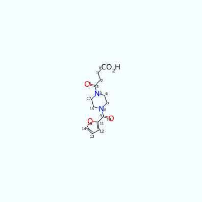 O=C(O)CCC(=O)N1CCN(C(=O)c2ccco2)CC1